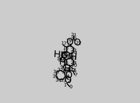 CCOC1(OC2(CC)CC[C@H]3[C@@H]4C(C)C=C5C(C)C(OC(C)=O)CC[C@]5(CO)[C@@H]4CC[C@@]32C)CCCCCC1